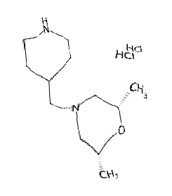 C[C@@H]1CN(CC2CCNCC2)C[C@H](C)O1.Cl.Cl